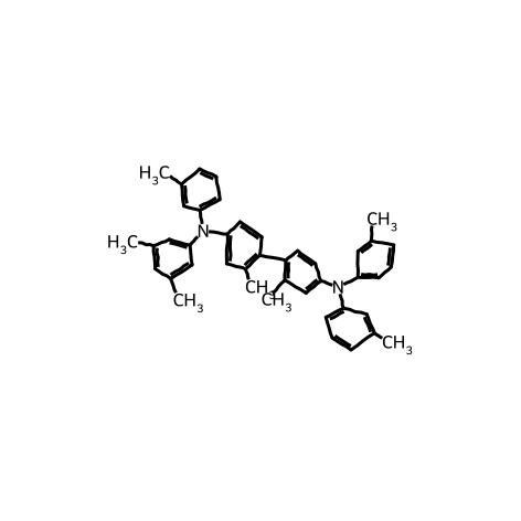 Cc1cccc(N(c2cccc(C)c2)c2ccc(-c3ccc(N(c4cccc(C)c4)c4cc(C)cc(C)c4)cc3C)c(C)c2)c1